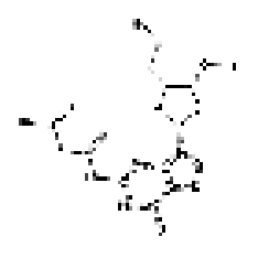 CCOC[C@H]1O[C@@H](n2cnc3c(=O)[nH]c(NC(=O)CC(=O)CC)nc32)C[C@H]1OCC